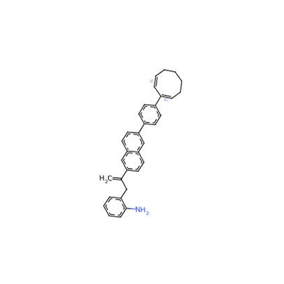 C=C(Cc1ccccc1N)c1ccc2cc(-c3ccc(C4=C/CCCC/C=C\4)cc3)ccc2c1